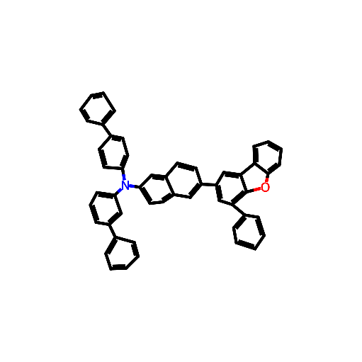 c1ccc(-c2ccc(N(c3cccc(-c4ccccc4)c3)c3ccc4cc(-c5cc(-c6ccccc6)c6oc7ccccc7c6c5)ccc4c3)cc2)cc1